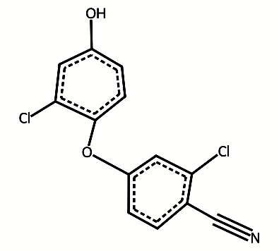 N#Cc1ccc(Oc2ccc(O)cc2Cl)cc1Cl